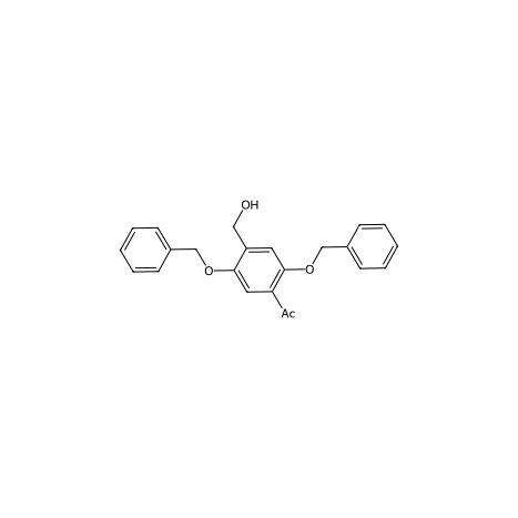 CC(=O)c1cc(OCc2ccccc2)c(CO)cc1OCc1ccccc1